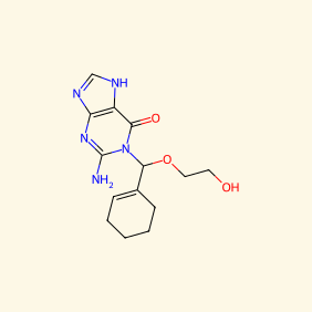 Nc1nc2nc[nH]c2c(=O)n1C(OCCO)C1=CCCCC1